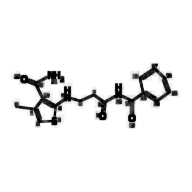 Cc1csc(NCCC(=O)NC(=O)c2ccccc2)c1C(N)=O